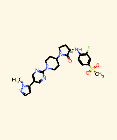 Cn1nccc1-c1cnc(N2CCC(N3CC[C@H](Nc4ccc(S(C)(=O)=O)cc4F)C3=O)CC2)nc1